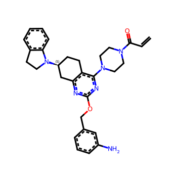 C=CC(=O)N1CCN(c2nc(OCc3cccc(N)c3)nc3c2CC[C@H](N2CCc4ccccc42)C3)CC1